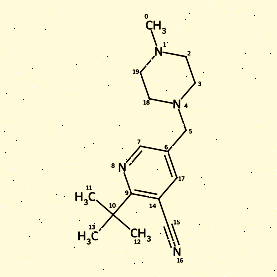 CN1CCN(Cc2cnc(C(C)(C)C)c(C#N)c2)CC1